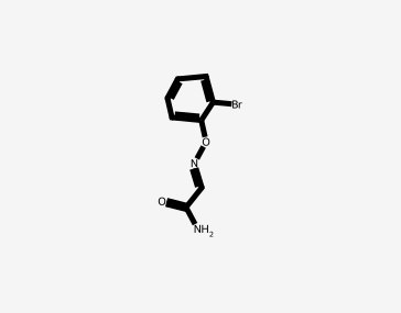 NC(=O)C=NOc1ccccc1Br